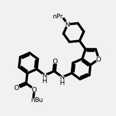 CCCCOC(=O)c1ccccc1NC(=O)Nc1ccc2occ(C3CCN(CCC)CC3)c2c1